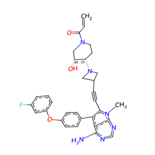 C=CC(=O)N1CC[C@H](N2CC(C#Cc3c(-c4ccc(Oc5cccc(F)c5)cc4)c4c(N)ncnc4n3C)C2)[C@H](O)C1